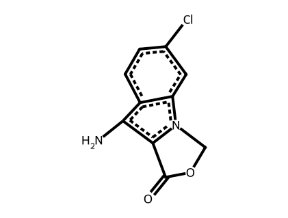 Nc1c2n(c3cc(Cl)ccc13)COC2=O